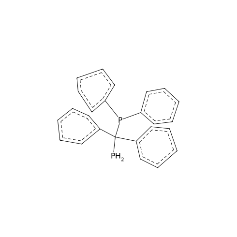 PC(c1ccccc1)(c1ccccc1)P(c1ccccc1)c1ccccc1